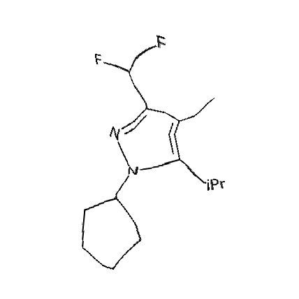 Cc1c(C(F)F)nn(C2CCCC2)c1C(C)C